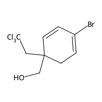 OCC1(CC(Cl)(Cl)Cl)C=CC(Br)=CC1